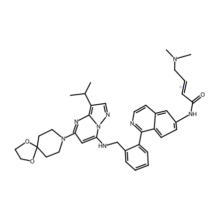 CC(C)c1cnn2c(NCc3ccccc3-c3nccc4cc(NC(=O)/C=C/CN(C)C)ccc34)cc(N3CCC4(CC3)OCCO4)nc12